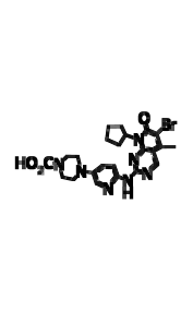 Cc1c(Br)c(=O)n(C2CCCC2)c2nc(Nc3ccc(N4CCN(C(=O)O)CC4)cn3)ncc12